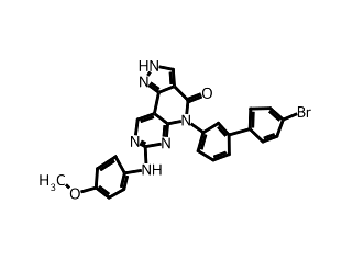 COc1ccc(Nc2ncc3c4n[nH]cc4c(=O)n(-c4cccc(-c5ccc(Br)cc5)c4)c3n2)cc1